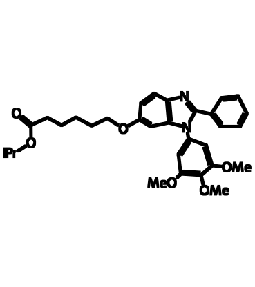 COc1cc(-n2c(-c3ccccc3)nc3ccc(OCCCCCC(=O)OC(C)C)cc32)cc(OC)c1OC